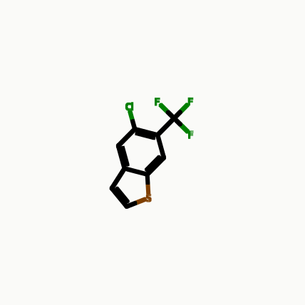 FC(F)(F)c1cc2sccc2cc1Cl